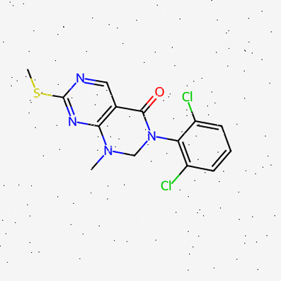 CSc1ncc2c(n1)N(C)CN(c1c(Cl)cccc1Cl)C2=O